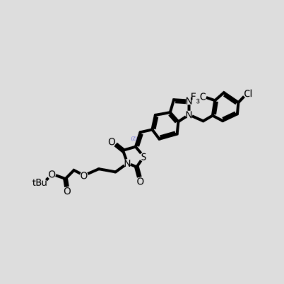 CC(C)(C)OC(=O)COCCN1C(=O)S/C(=C\c2ccc3c(cnn3Cc3ccc(Cl)cc3C(F)(F)F)c2)C1=O